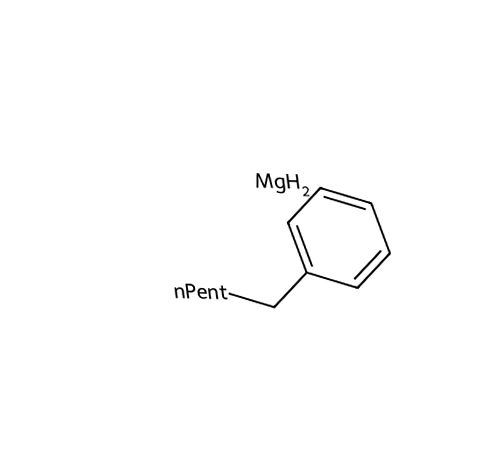 CCCCCCc1ccccc1.[MgH2]